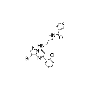 O=C(NCCCNc1cc(-c2ccccc2Cl)nc2c(Br)cnn12)c1ccsc1